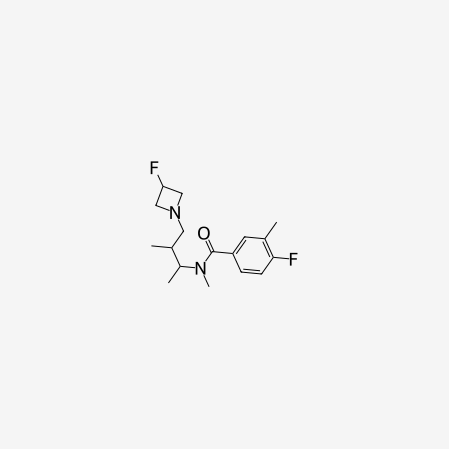 Cc1cc(C(=O)N(C)C(C)C(C)CN2CC(F)C2)ccc1F